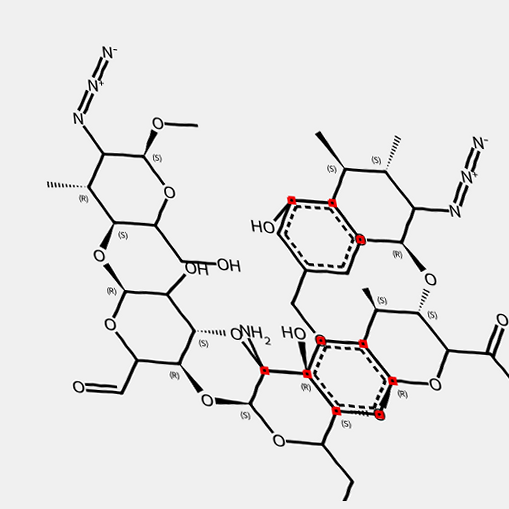 CO[C@H]1OC(CO)[C@@H](O[C@@H]2OC(C=O)[C@H](O[C@@H]3OC(CO)[C@@H](O[C@@H]4OC(C(=O)O)[C@@H](O[C@H]5OC(CO)[C@@H](C)[C@H](C)C5N=[N+]=[N-])[C@H](C)C4OCc4ccccc4)[C@H](O)C3N)[C@@H](OCc3ccccc3)C2O)[C@H](C)C1N=[N+]=[N-]